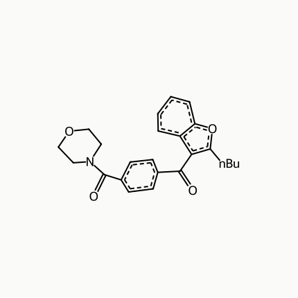 CCCCc1oc2ccccc2c1C(=O)c1ccc(C(=O)N2CCOCC2)cc1